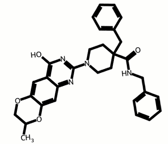 CC1COc2cc3c(O)nc(N4CCC(Cc5ccccc5)(C(=O)NCc5ccccc5)CC4)nc3cc2O1